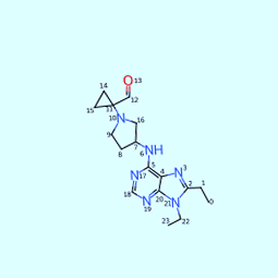 CCc1nc2c(NC3CCN(C4(C=O)CC4)C3)ncnc2n1CC